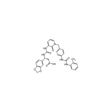 Cc1ccccc1NC(=O)Nc1ccc(Cn2cccc(NC(=O)N[C@@H](CC(=O)O)c3ccc4c(c3)OCO4)c2=O)cc1